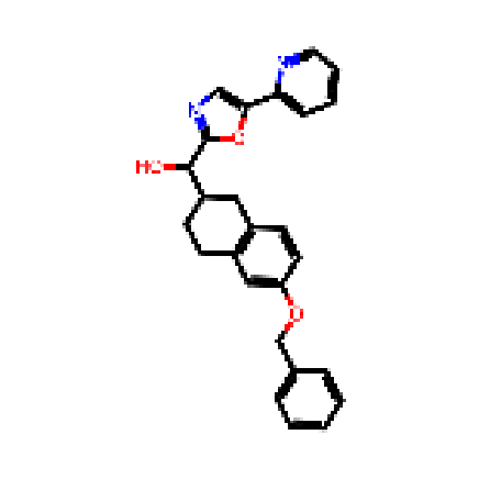 OC(c1ncc(-c2ccccn2)o1)C1CCc2cc(OCc3ccccc3)ccc2C1